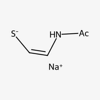 CC(=O)N/C=C\[S-].[Na+]